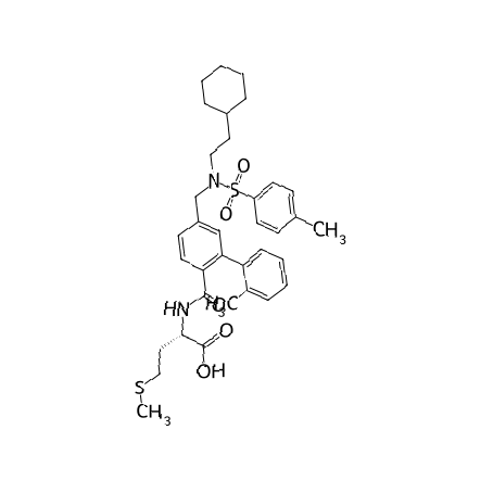 CSCC[C@H](NC(=O)c1ccc(CN(CCC2CCCCC2)S(=O)(=O)c2ccc(C)cc2)cc1-c1ccccc1C)C(=O)O